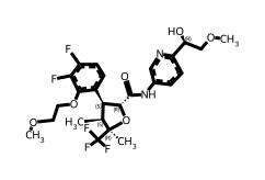 COCCOc1c([C@H]2[C@H](C(=O)Nc3ccc([C@@H](O)COC)nc3)O[C@@](C)(C(F)(F)F)[C@H]2C)ccc(F)c1F